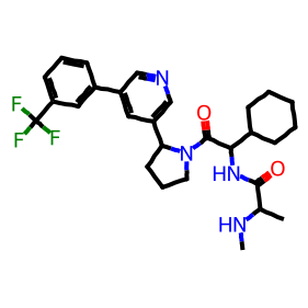 CNC(C)C(=O)NC(C(=O)N1CCCC1c1cncc(-c2cccc(C(F)(F)F)c2)c1)C1CCCCC1